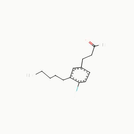 CCCCCc1cc(CCC(C)=O)ccc1F